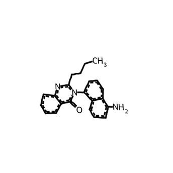 CCCCc1nc2ccccc2c(=O)n1-c1cccc2c(N)cccc12